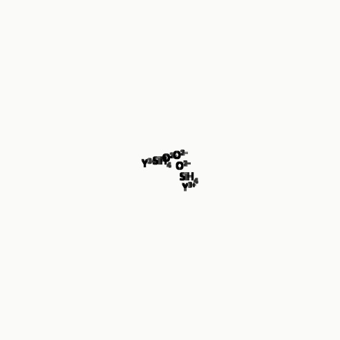 [O-2].[O-2].[O-2].[SiH4].[SiH4].[Y+3].[Y+3]